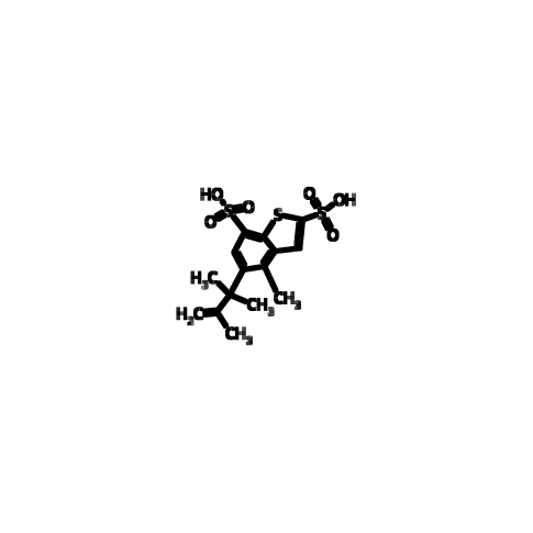 C=C(C)C(C)(C)c1cc(S(=O)(=O)O)c2sc(S(=O)(=O)O)cc2c1C